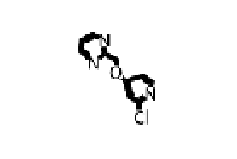 Clc1cc(OCc2ncccn2)ccn1